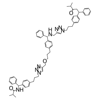 CC(C)C(=O)CC(c1ccccc1)c1ccc(CCCn2cc(CN[C@@H](c3ccccc3)c3ccc(CCCOCc4cn(CCCc5ccc(C(NC(=O)C(C)C)c6ccccc6)cc5)nn4)cc3)nn2)cc1